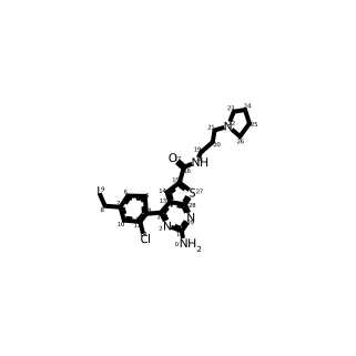 Nc1nc(-c2ccc(CI)cc2Cl)c2cc(C(=O)NCCCN3CCCC3)sc2n1